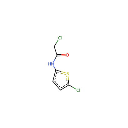 O=C(CCl)Nc1ccc(Cl)s1